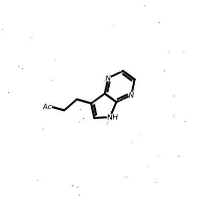 CC(=O)CCc1c[nH]c2nccnc12